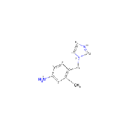 Cc1cc(N)ccc1Cn1ccnc1